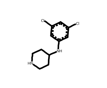 Clc1cc(Cl)cc(NC2CCNCC2)c1